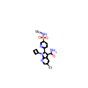 CCc1cnc2c(c1)c(C(N)=O)c(-c1ccc(S(=O)(=O)NC(C)(C)C)cn1)n2C1=CC=C1